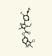 CCn1c(-c2ccc(C#N)c(F)c2)nc(C)c1C(=O)Oc1ccc2nn(C)c(Cl)c2c1